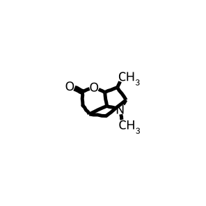 CC1C2OC(=O)CC3CC1N(C)C32